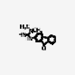 CN(C)C(=N)Nc1ccc2c(c1)C(=O)c1ccccc1-2